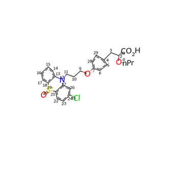 CCCOC(Cc1ccc(OCCCN2c3ccccc3[S+]([O-])c3ccc(Cl)cc32)cc1)C(=O)O